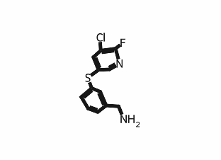 NCc1cccc(Sc2cnc(F)c(Cl)c2)c1